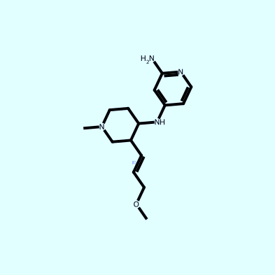 COC/C=C/C1CN(C)CCC1Nc1ccnc(N)c1